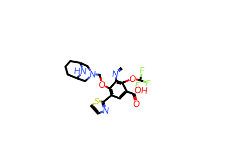 C=Nc1c(OC(F)(F)F)c(C(=O)O)cc(-c2nccs2)c1OCN1CC2CCCC(C1)N2